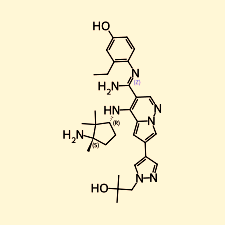 CCc1cc(O)ccc1/N=C(\N)c1cnn2cc(-c3cnn(CC(C)(C)O)c3)cc2c1N[C@@H]1CC[C@](C)(N)C1(C)C